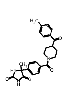 Cc1ccc(C(=O)C2CCN(C(=O)c3ccc(C4(C)NC(=O)NC4=O)cc3)CC2)cc1